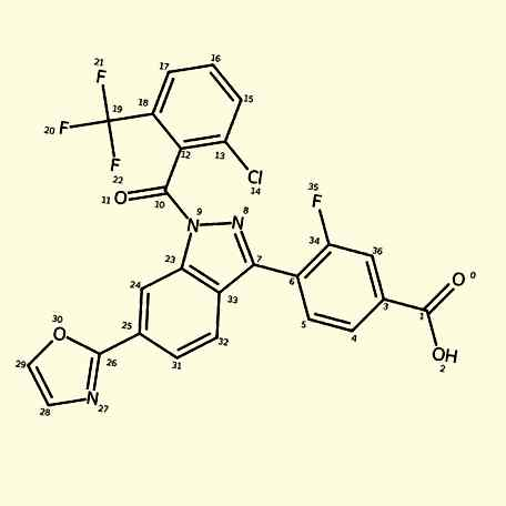 O=C(O)c1ccc(-c2nn(C(=O)c3c(Cl)cccc3C(F)(F)F)c3cc(-c4ncco4)ccc23)c(F)c1